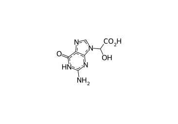 Nc1nc2c(ncn2C(O)C(=O)O)c(=O)[nH]1